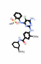 CCCS(=O)(=O)c1ccccc1Nc1nc(Nc2ccc(C(=O)NC3CCCC(NC(C)=O)C3)cc2OC)nc(N)c1Cl